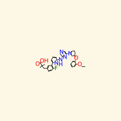 CCOc1ccccc1OC1CCCN(c2cncc(Nc3cccc(-c4cc(CC(C)(C)C(=O)O)ccc4F)n3)n2)C1